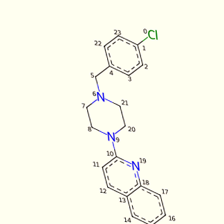 Clc1ccc(CN2CCN(c3ccc4ccccc4n3)CC2)cc1